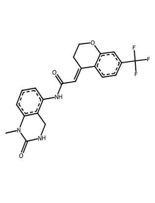 CN1C(=O)NCc2c(NC(=O)/C=C3\CCOc4cc(C(F)(F)F)ccc43)cccc21